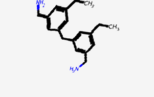 CCc1cc(CN)cc(Cc2cc(CC)cc(CN)c2)c1